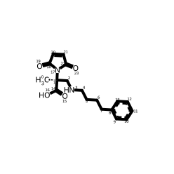 C[C@](CNCCCCc1ccccc1)(C(=O)O)N1C(=O)C=CC1=O